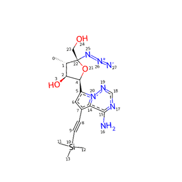 C[C@H]1[C@H](O)[C@H](c2cc(C#C[Si](C)(C)C)c3c(N)ncnn23)O[C@@]1(CO)N=[N+]=[N-]